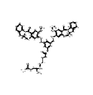 COc1cc2c(cc1OCc1cc(COc3cc4c(cc3OC)C(=O)N3c5ccccc5C[C@H]3C=N4)cc(NC(=O)CCCSSC(C)CCC(C)=O)c1)N=C[C@@H]1Cc3ccccc3N1C2=O